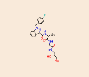 CC(C)(C)[C@H](NC(=O)c1nn(Cc2ccc(F)cc2)c2ccccc12)C(=O)NCC(=O)NC[C@@H](O)CO